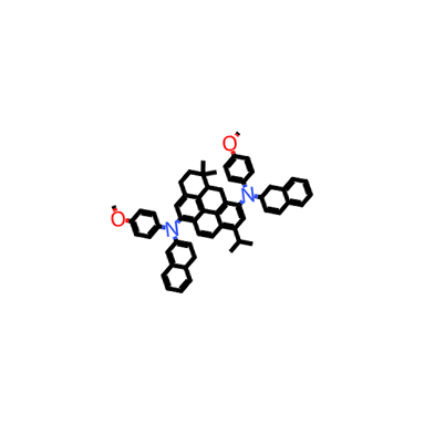 COc1ccc(N(C2=CCC3C=CC=CC3=C2)c2cc3c4c5c2ccc2c(C(C)C)cc(N(c6ccc(OC)cc6)C6C=Cc7ccccc7C6)c(c25)CC4C(C)(C)CC3)cc1